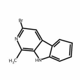 Cc1nc(Br)cc2c1[nH]c1ccccc12